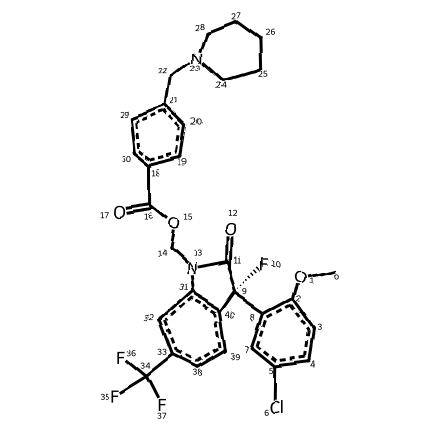 COc1ccc(Cl)cc1[C@]1(F)C(=O)N(COC(=O)c2ccc(CN3CCCCC3)cc2)c2cc(C(F)(F)F)ccc21